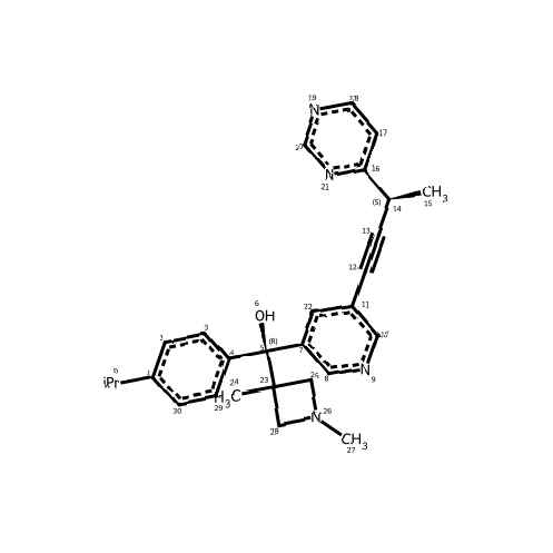 CC(C)c1ccc([C@](O)(c2cncc(C#C[C@H](C)c3ccncn3)c2)C2(C)CN(C)C2)cc1